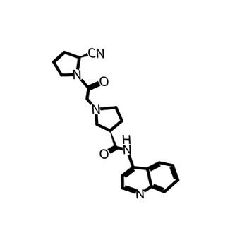 N#C[C@@H]1CCCN1C(=O)CN1CC[C@@H](C(=O)Nc2ccnc3ccccc23)C1